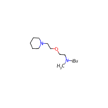 CCC(C)N(C)CCOCCN1CCCCC1